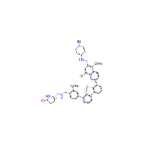 COc1cc(-c2nccc(-c3cccc(-c4ccc5c(OC)c(CNC6CCN(C(C)=O)CC6)cc(Cl)c5n4)c3Cl)c2Cl)ccc1CNC[C@@H]1CCC(=O)N1